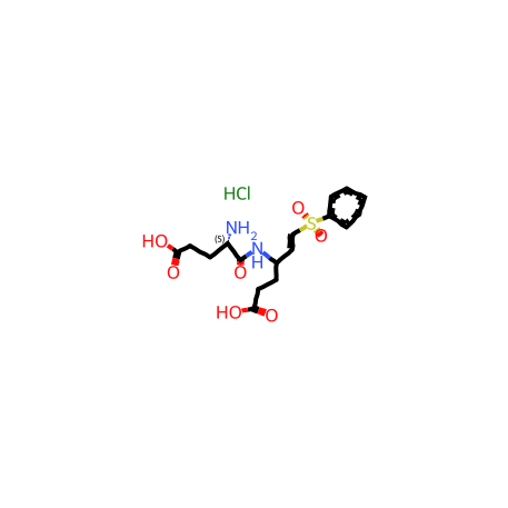 Cl.N[C@@H](CCC(=O)O)C(=O)NC(C=CS(=O)(=O)c1ccccc1)CCC(=O)O